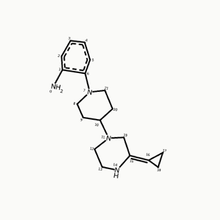 Nc1ccccc1N1CCC(N2CCNC(=C3CC3)C2)CC1